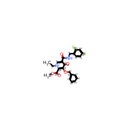 CCn1cc(C(=O)NCc2ccc(F)cc2F)c(=O)c(OCc2ccccc2)c1C(=O)OC